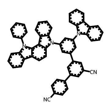 N#Cc1ccc(-c2cc(C#N)cc(-c3cc(-n4c5ccccc5c5ccccc54)cc(-n4c5ccccc5c5c4ccc4c6ccccc6n(-c6ccccc6)c45)c3)c2)cc1